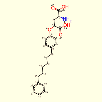 N[C@@H](CC(Oc1ccc(CCCCCCc2ccccc2)cc1)C(=O)O)C(=O)O